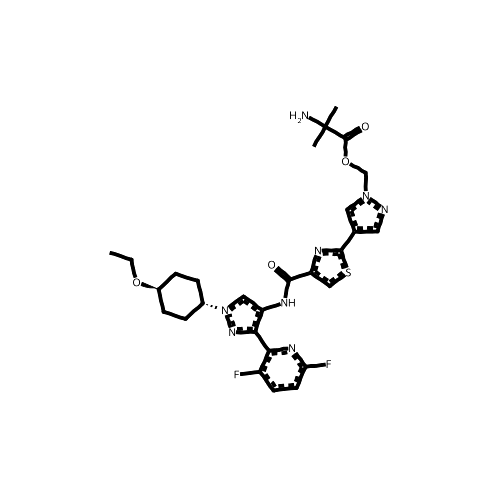 CCO[C@H]1CC[C@H](n2cc(NC(=O)c3csc(-c4cnn(COC(=O)C(C)(C)N)c4)n3)c(-c3nc(F)ccc3F)n2)CC1